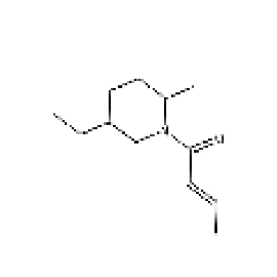 CC=CC(=O)N1CC(CC)CCC1C